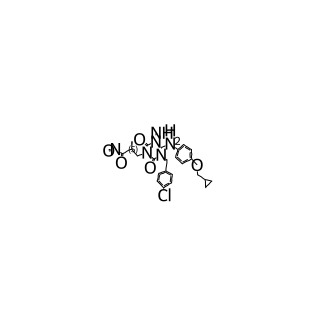 C[C@@H](CN1C(=O)N(N)C(Nc2ccc(OCC3CC3)cc2)N(Cc2ccc(Cl)cc2)C1=O)C(=O)N=O